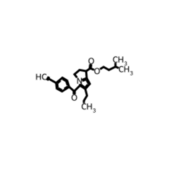 C#Cc1ccc(C(=O)c2c(CCC)cc3n2CCC3C(=O)OCCC(C)C)cc1